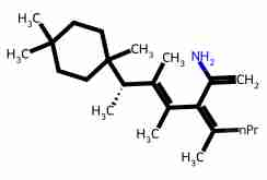 C=C(N)C(=C(/C)CCC)/C(C)=C(\C)[C@H](C)C1(C)CCC(C)(C)CC1